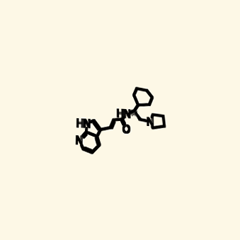 O=C(C=Cc1c[nH]c2ncccc12)N[C@H](CN1CCCC1)C1CCCCC1